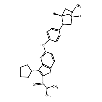 CN(C)C(=O)c1sc2cnc(Nc3ccc(N4C[C@@H]5C[C@H]4CN5C)cn3)nc2c1C1CCCC1